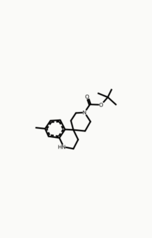 Cc1ccc2c(c1)NCCC21CCN(C(=O)OC(C)(C)C)CC1